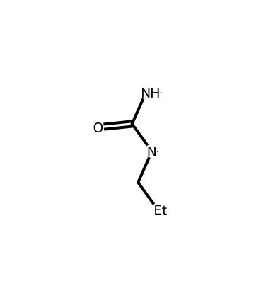 CCC[N]C([NH])=O